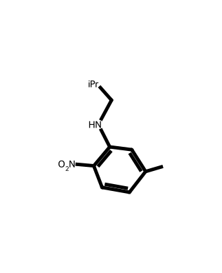 Cc1ccc([N+](=O)[O-])c(NCC(C)C)c1